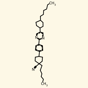 CCCCCCC1CCC(c2cnc(-c3ccc(C4CCC(C#N)(CCCCCC)CC4)cc3)nc2)CC1